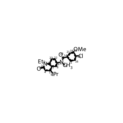 CCn1c(=O)cc(C(C)C)c2cc(N(C)C(=O)c3ccc(Cl)c(OC)c3)ccc21